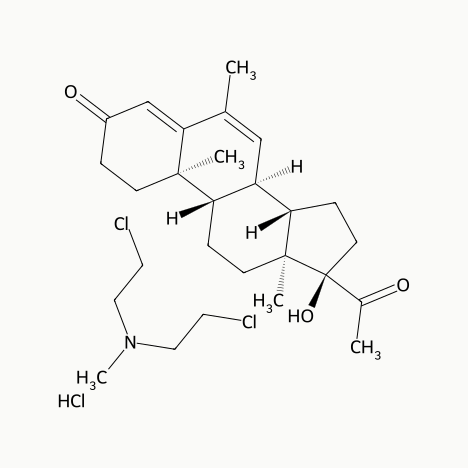 CC(=O)[C@@]1(O)CC[C@H]2[C@@H]3C=C(C)C4=CC(=O)CC[C@]4(C)[C@H]3CC[C@@]21C.CN(CCCl)CCCl.Cl